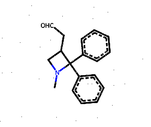 CN1CC(CC=O)C1(c1ccccc1)c1ccccc1